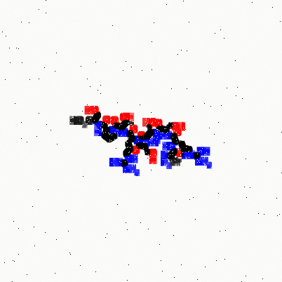 CC(C)[C@H](N)C(=O)N[C@@H](CCCNC(=N)N)C(=O)N[C@@H](CO)C(=O)N[C@@H](CO)C(=O)N[C@@H](CO)C(=O)N[C@@H](CCCNC(=N)N)C(=O)N[C@H](C(=O)N1CCC[C@H]1C(=O)N[C@@H](CO)C(=O)O)[C@@H](C)O